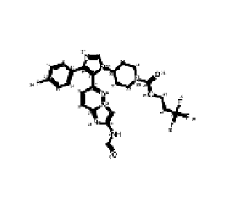 O=CNc1cn2nc(-c3c(-c4ccc(F)cc4)ncn3C3CCN(C(=O)OCCC(F)(F)F)CC3)ccc2n1